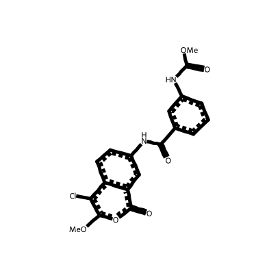 COC(=O)Nc1cccc(C(=O)Nc2ccc3c(Cl)c(OC)oc(=O)c3c2)c1